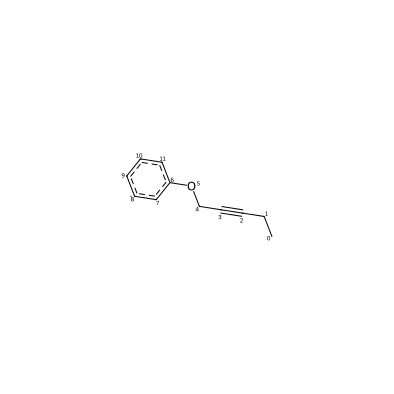 CCC#CCOc1c[c]ccc1